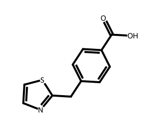 O=C(O)c1ccc(Cc2nccs2)cc1